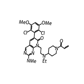 C=CC(=O)N1CCC(N(CC)CCn2c(=O)c(-c3c(Cl)c(OC)cc(OC)c3Cl)cc3cnc(NC)nc32)CC1